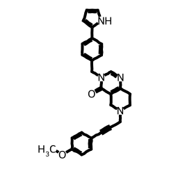 COc1ccc(C#CCN2CCc3ncn(Cc4ccc(-c5ccc[nH]5)cc4)c(=O)c3C2)cc1